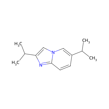 CC(C)c1ccc2nc(C(C)C)cn2c1